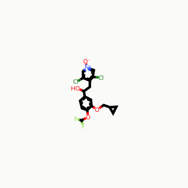 [O-][n+]1cc(Cl)c(CC(O)c2ccc(OC(F)F)c(OCC3CC3)c2)c(Cl)c1